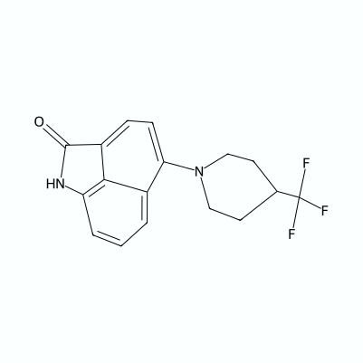 O=C1Nc2cccc3c(N4CCC(C(F)(F)F)CC4)ccc1c23